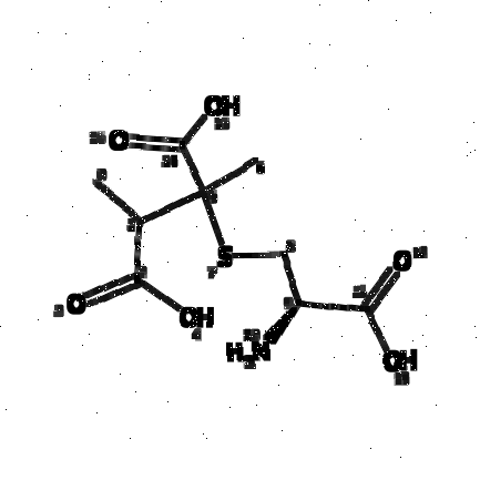 CC(C(=O)O)C(C)(SC[C@H](N)C(=O)O)C(=O)O